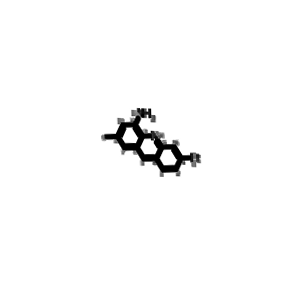 CCc1ccc2cc3cc(C)cc(N)c3nc2c1